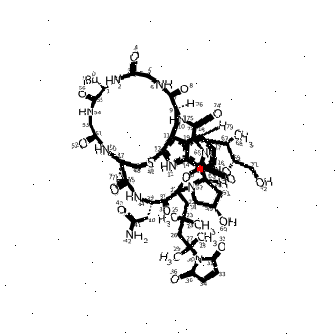 CC[C@H](C)[C@@H]1NC(=O)CNC(=O)[C@@H]2Cc3c4[nH]c5cc(ccc35)OC(CC(C)(C)CC(C)(C)N3C(=O)C=CC3=O)(C(=O)[C@H](CC(N)=O)NC(=O)[C@H](CS4)NC(=O)CNC1=O)N1C[C@H](O)C[C@H]1C(=O)N[C@@H]([C@@H](C)[C@@H](O)CO)C(=O)N2